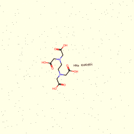 O=C(O)CN(CCN(CC(=O)O)CC(=O)O)CC(=O)O.[KH].[KH].[KH].[NaH]